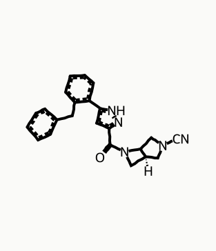 N#CN1CC2[C@@H](C1)CN2C(=O)c1cc(-c2ccccc2Cc2ccccc2)[nH]n1